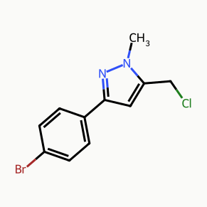 Cn1nc(-c2ccc(Br)cc2)cc1CCl